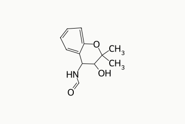 CC1(C)Oc2ccccc2C(NC=O)C1O